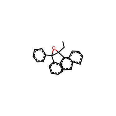 CCC1(c2cccc3ccccc23)OC1(c1ccccc1)c1ccccc1